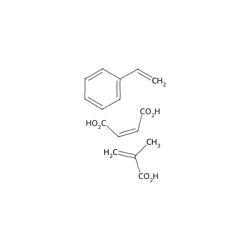 C=C(C)C(=O)O.C=Cc1ccccc1.O=C(O)/C=C\C(=O)O